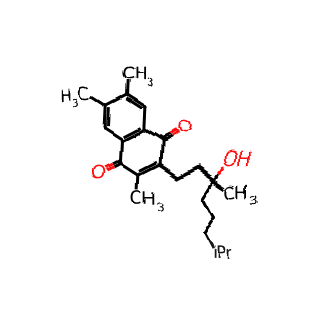 CC1=C(CCC(C)(O)CCCC(C)C)C(=O)c2cc(C)c(C)cc2C1=O